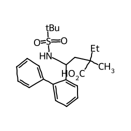 CCC(C)(CC(NS(=O)(=O)C(C)(C)C)c1ccccc1-c1ccccc1)C(=O)O